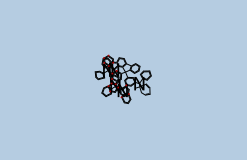 CC1(N(c2ccccc2)c2cc(N(c3ccccc3)c3ccccc3)cc(C3(c4cc(N(c5ccccc5)c5ccccc5)cc(N(c5ccccc5)c5ccccc5)c4)c4ccccc4-c4ccc5c6ccccc6n(-c6ccccc6)c5c43)c2)C=CC=CC1